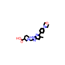 Cc1cc2nc(CN3CCCC(C(=O)O)C3)[nH]c2nc1-c1ccc(N2CCOCC2)cc1